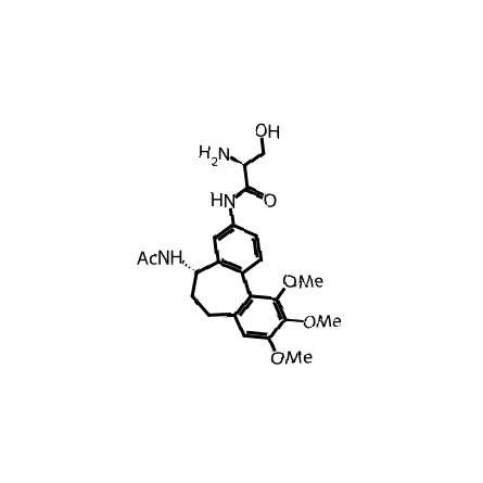 COc1cc2c(c(OC)c1OC)-c1ccc(NC(=O)[C@@H](N)CO)cc1[C@@H](NC(C)=O)CC2